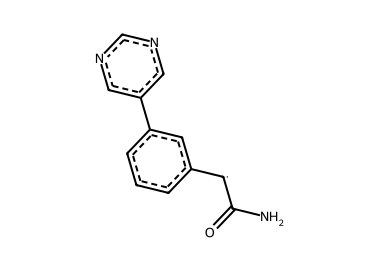 NC(=O)[CH]c1cccc(-c2cncnc2)c1